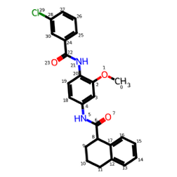 COc1cc(NC(=O)C2CCCc3ccccc32)ccc1NC(=O)c1cccc(Cl)c1